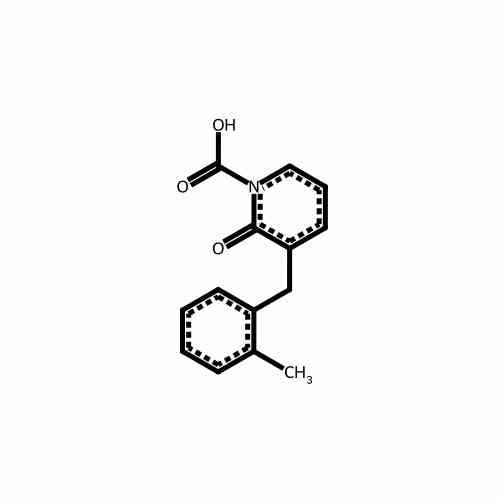 Cc1ccccc1Cc1cccn(C(=O)O)c1=O